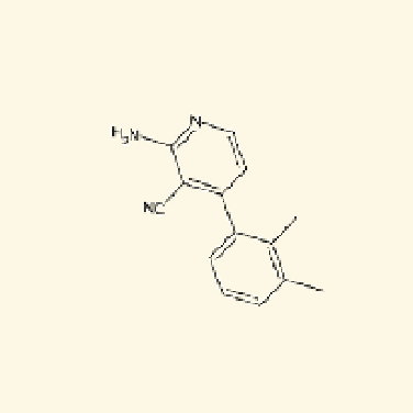 Cc1cccc(-c2ccnc(N)c2C#N)c1C